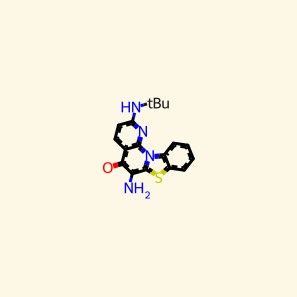 CC(C)(C)Nc1ccc2c(=O)c(N)c3sc4ccccc4n3c2n1